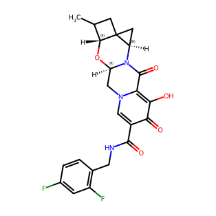 CC1CC23C[C@H]2N2C(=O)c4c(O)c(=O)c(C(=O)NCc5ccc(F)cc5F)cn4C[C@H]2O[C@H]13